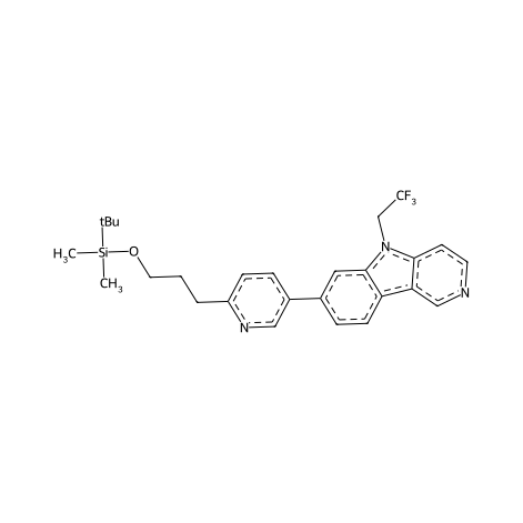 CC(C)(C)[Si](C)(C)OCCCc1ccc(-c2ccc3c4cnccc4n(CC(F)(F)F)c3c2)cn1